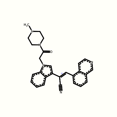 CN1CCN(C(=O)Cn2cc(/C(C#N)=C/c3cccc4cnccc34)c3ccccc32)CC1